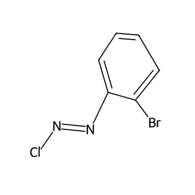 Cl/N=N/c1ccccc1Br